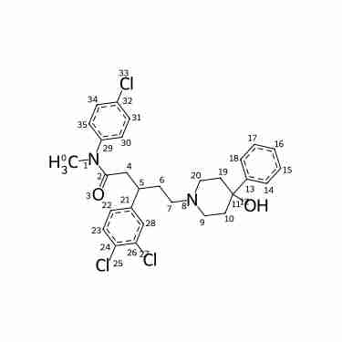 CN(C(=O)CC(CCN1CCC(O)(c2ccccc2)CC1)c1ccc(Cl)c(Cl)c1)c1ccc(Cl)cc1